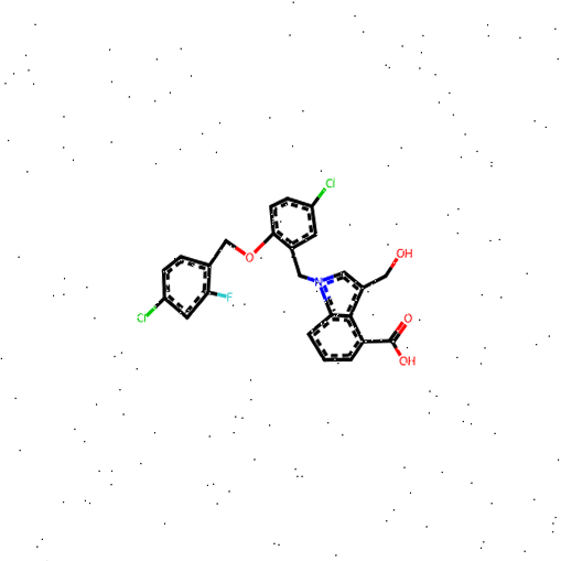 O=C(O)c1cccc2c1c(CO)cn2Cc1cc(Cl)ccc1OCc1ccc(Cl)cc1F